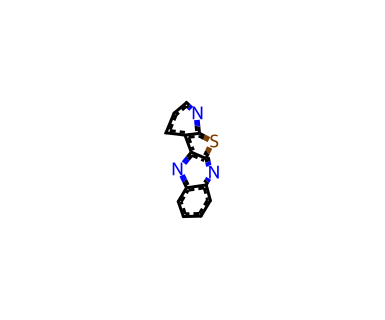 c1ccc2nc3c(nc2c1)sc1ncccc13